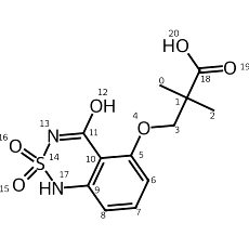 CC(C)(COc1cccc2c1C(O)=NS(=O)(=O)N2)C(=O)O